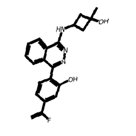 C=C(F)c1ccc(-c2nnc(NC3CC(C)(O)C3)c3ccccc23)c(O)c1